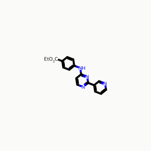 CCOC(=O)c1ccc(Nc2ccnc(-c3cccnc3)n2)cc1